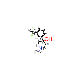 CC(C)N1CCC(O)(c2cccc(C(C)(F)F)c2)CC1